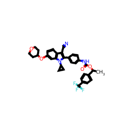 CC(OC(=O)Nc1ccc(-c2c(C#N)c3ccc(OC4CCOCC4)cc3n2C2CC2)cc1)c1ccc(C(F)(F)F)cc1